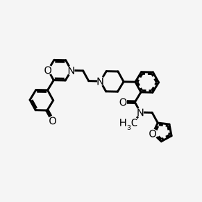 CN(Cc1ccco1)C(=O)c1ccccc1C1CCN(CCN2C=COC(C3=CC=CC(=O)C3)=C2)CC1